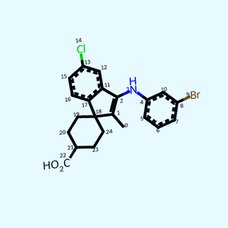 CC1=C(Nc2cccc(Br)c2)c2cc(Cl)ccc2C12CCC(C(=O)O)CC2